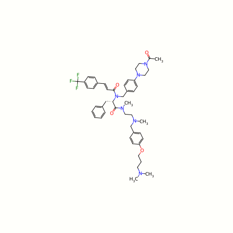 CC(=O)N1CCN(c2ccc(CN(C(=O)/C=C/c3ccc(C(F)(F)F)cc3)[C@@H](Cc3ccccc3)C(=O)N(C)CCN(C)Cc3ccc(OCCCN(C)C)cc3)cc2)CC1